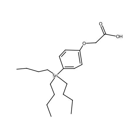 CCC[CH2][Sn]([CH2]CCC)([CH2]CCC)[c]1ccc(OCC(=O)O)cc1